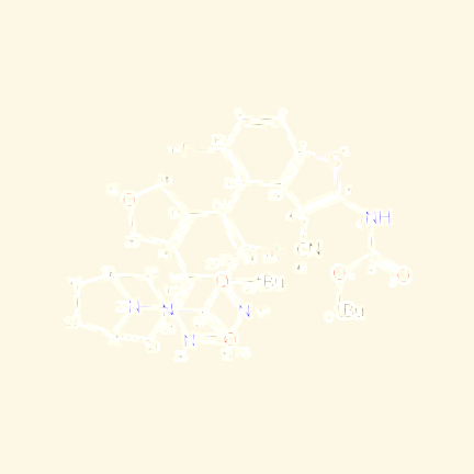 CC(C)(C)OC(=O)Nc1sc2ccc(F)c(-c3c4c(c5c(N6C7CCC6CN(C(=O)OC(C)(C)C)C7)ncnc5c3F)COC4)c2c1C#N